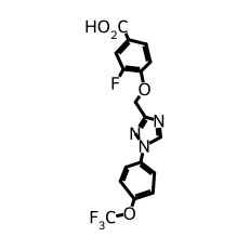 O=C(O)c1ccc(OCc2ncn(-c3ccc(OC(F)(F)F)cc3)n2)c(F)c1